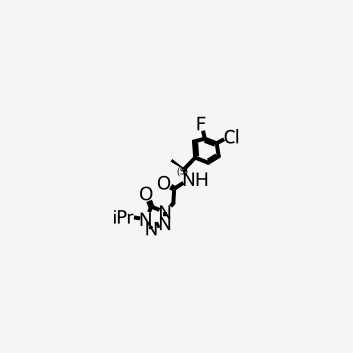 CC(C)n1nnn(CC(=O)N[C@@H](C)c2ccc(Cl)c(F)c2)c1=O